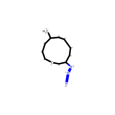 CC1CCCCCC(N=[N+]=[N-])CCCC1